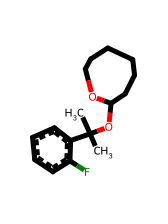 CC(C)(OC1CCCCCCO1)c1ccccc1F